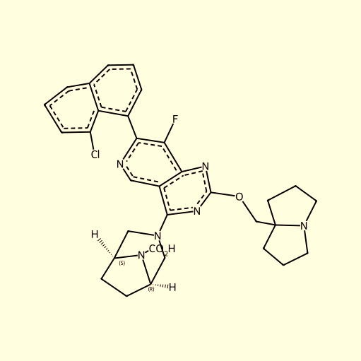 O=C(O)N1[C@@H]2CC[C@H]1CN(c1nc(OCC34CCCN3CCC4)nc3c(F)c(-c4cccc5cccc(Cl)c45)ncc13)C2